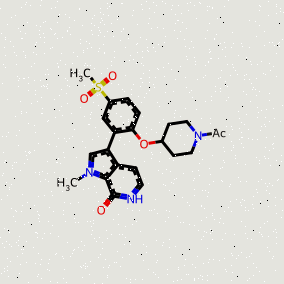 CC(=O)N1CCC(Oc2ccc(S(C)(=O)=O)cc2-c2cn(C)c3c(=O)[nH]ccc23)CC1